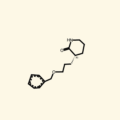 O=C1NCCC[C@@H]1CCCOCc1ccccc1